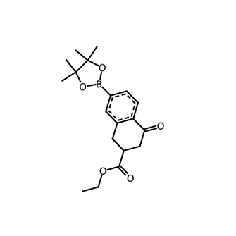 CCOC(=O)C1CC(=O)c2ccc(B3OC(C)(C)C(C)(C)O3)cc2C1